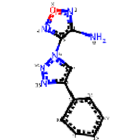 Nc1nonc1-n1cc(-c2ccccc2)nn1